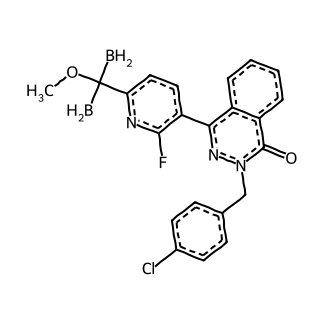 BC(B)(OC)c1ccc(-c2nn(Cc3ccc(Cl)cc3)c(=O)c3ccccc23)c(F)n1